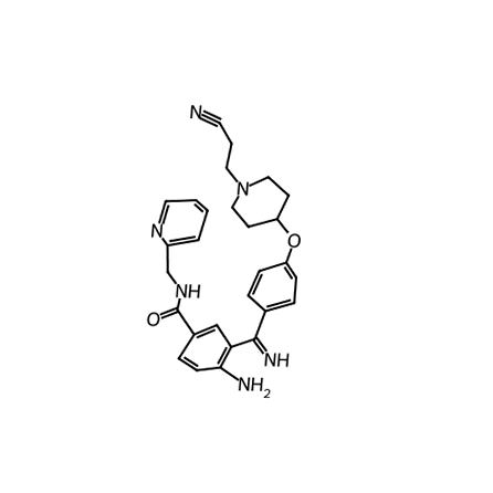 N#CCCN1CCC(Oc2ccc(C(=N)c3cc(C(=O)NCc4ccccn4)ccc3N)cc2)CC1